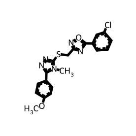 COc1ccc(-c2nnc(SCc3noc(-c4cccc(Cl)c4)n3)n2C)cc1